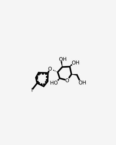 OC[C@H]1O[C@@H](O)[C@H](Oc2ccc(I)cc2)[C@@H](O)[C@H]1O